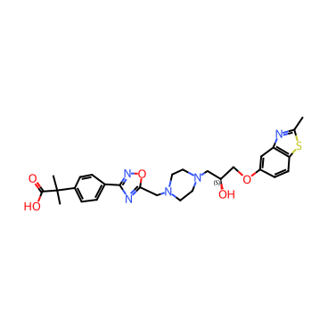 Cc1nc2cc(OC[C@@H](O)CN3CCN(Cc4nc(-c5ccc(C(C)(C)C(=O)O)cc5)no4)CC3)ccc2s1